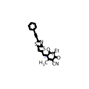 CCN1C(=O)C(C#N)=C(C)/C(=C/c2cc3sc(C#Cc4ccccc4)nc3s2)C1=O